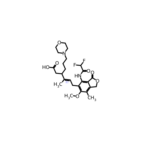 COc1c(C)c2c(c(NC(=O)C(F)F)c1C/C=C(\C)C(CCCN1CCOCC1)CC(=O)O)C(=O)OC2